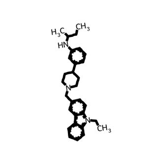 CCC(C)Nc1cccc(C2CCN(Cc3ccc4c(c3)c3ccccc3n4CC)CC2)c1